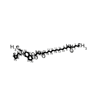 CCCCNC(=O)CCCCCCCCCCCCCC(=O)NCCC(=O)Oc1cccc2c1CC[C@@H](N(CCC)CCc1cccs1)C2